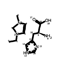 CCN1C=CN(C)C1.N[C@@H](Cc1c[nH]cn1)C(=O)O